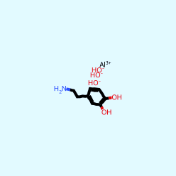 NCCc1ccc(O)c(O)c1.[Al+3].[OH-].[OH-].[OH-]